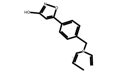 C=CN(/C=C\C)Cc1ccc(-c2cc(O)no2)cc1